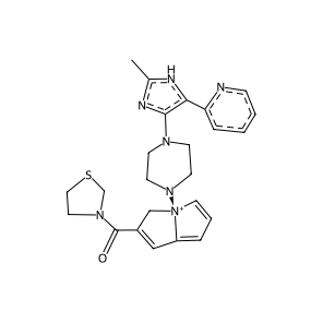 Cc1nc(N2CCN([N@@+]34C=CC=C3C=C(C(=O)N3CCSC3)C4)CC2)c(-c2ccccn2)[nH]1